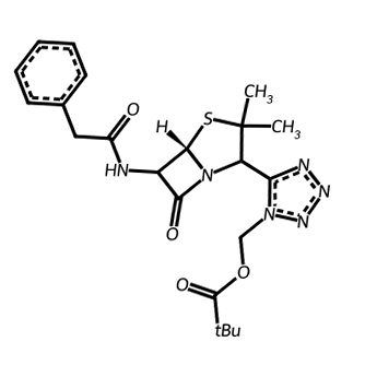 CC(C)(C)C(=O)OCn1nnnc1C1N2C(=O)C(NC(=O)Cc3ccccc3)[C@@H]2SC1(C)C